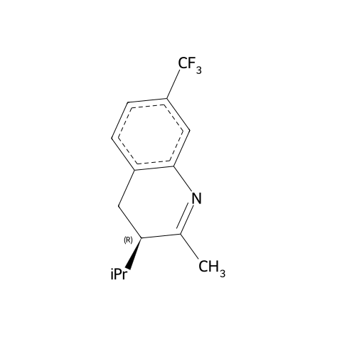 CC1=Nc2cc(C(F)(F)F)ccc2C[C@@H]1C(C)C